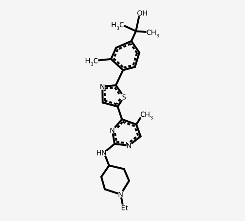 CCN1CCC(Nc2ncc(C)c(-c3cnc(-c4ccc(C(C)(C)O)cc4C)s3)n2)CC1